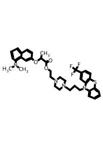 CC(Oc1ccc2cccc(N(C)C)c2c1)C(=O)OCCN1CCN(CCCN2c3ccccc3Sc3ccc(C(F)(F)F)cc32)CC1